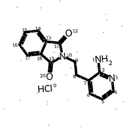 Cl.Nc1ncccc1CCN1C(=O)c2ccccc2C1=O